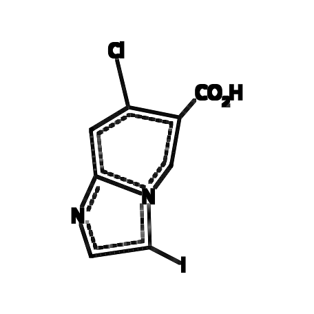 O=C(O)c1cn2c(I)cnc2cc1Cl